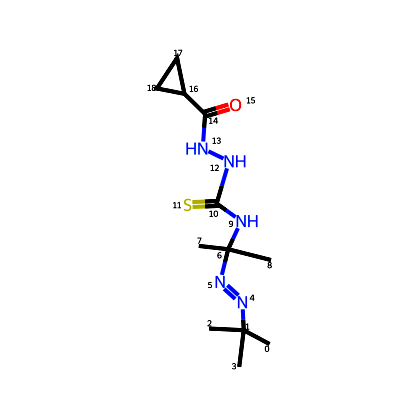 CC(C)(C)/N=N/C(C)(C)NC(=S)NNC(=O)C1CC1